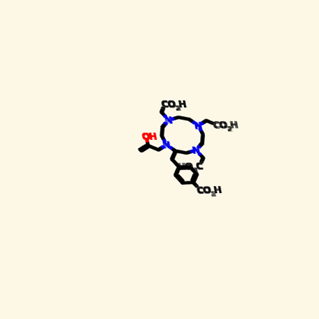 C=C(O)CN1CCN(CC(=O)O)CCN(CC(=O)O)CCN(CC(=O)O)CC1Cc1ccc(C(=O)O)cc1